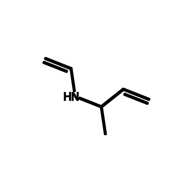 C=CNC(C)C=C